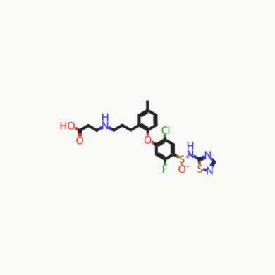 Cc1ccc(Oc2cc(F)c([S+]([O-])Nc3ncns3)cc2Cl)c(CCCNCCC(=O)O)c1